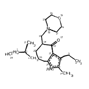 CC(C)O.CCc1c(C)[nH]c2c1C(=O)C(CN1CCOCC1)CC2.Cl